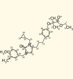 CCOC(=O)C(C)(C)Oc1ccc(CCCc2cn(Cc3ccc(C)c(C)c3)c(=O)n2CC2CC2)cc1